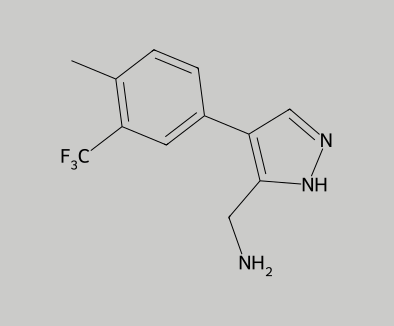 Cc1ccc(-c2cn[nH]c2CN)cc1C(F)(F)F